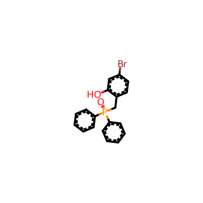 O=P(Cc1ccc(Br)cc1O)(c1ccccc1)c1ccccc1